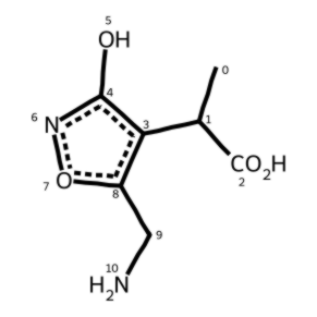 CC(C(=O)O)c1c(O)noc1CN